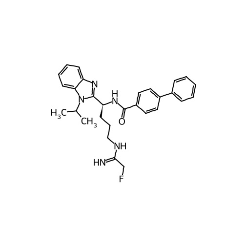 CC(C)n1c([C@H](CCCNC(=N)CF)NC(=O)c2ccc(-c3ccccc3)cc2)nc2ccccc21